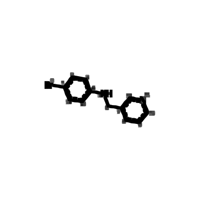 Brc1ccc(NCc2cccnc2)cc1